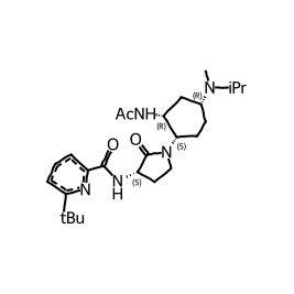 CC(=O)N[C@@H]1C[C@H](N(C)C(C)C)CC[C@@H]1N1CC[C@H](NC(=O)c2cccc(C(C)(C)C)n2)C1=O